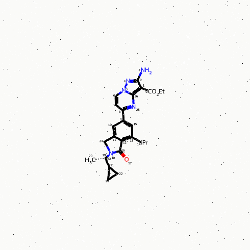 CCOC(=O)c1c(N)nn2ccc(-c3cc4c(c(C(C)C)c3)C(=O)N([C@@H](C)C3CC3)C4)nc12